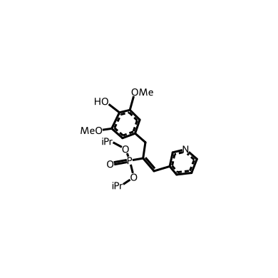 COc1cc(C/C(=C\c2cccnc2)P(=O)(OC(C)C)OC(C)C)cc(OC)c1O